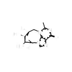 Cc1nc(=O)c2ncn3c2n1C[C@H]1O[C@@H]3C(O)[C@H]1O